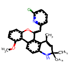 COc1cccc2c1-c1ccc3c(c1C(=Cc1cccc(Cl)n1)O2)C(C)=CC(C)(C)N3